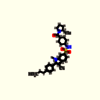 Cn1c(-c2ccc(CCC(=O)O)cc2)c(C#N)c2ccc(S(=O)(=O)NC3CCC(C(=O)N4CCC[C@H]4C(C)(C)C)CC3)cc21